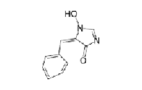 O=C1N=CN(O)C1=Cc1ccccc1